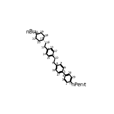 CCCCCc1ccc(-c2ccc(CCc3ccc(CC[C@H]4CC[C@H](CCCC)CC4)cc3)cc2)cc1